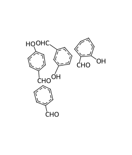 O=Cc1ccc(O)cc1.O=Cc1cccc(O)c1.O=Cc1ccccc1.O=Cc1ccccc1O